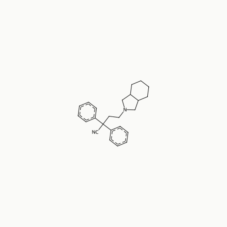 N#CC(CCN1CC2CCCCC2C1)(c1ccccc1)c1ccccc1